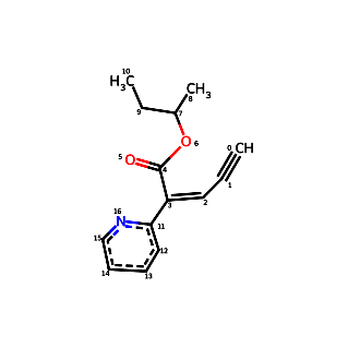 C#CC=C(C(=O)OC(C)CC)c1ccccn1